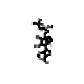 Nc1ncnc2c1ncn2[C@H]1[C@H](O)[C@H](O)[C@]2(COP(=O)(O)OP(=O)(O)O)C=C[C@H]12